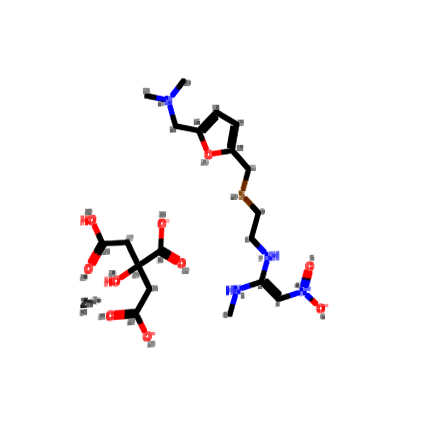 CN/C(=C/[N+](=O)[O-])NCCSCc1ccc(CN(C)C)o1.O=C([O-])CC(O)(CC(=O)O)C(=O)[O-].[Zn+2]